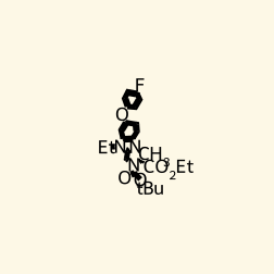 CCOC(=O)[C@H](C)N(Cc1nc2ccc(Oc3ccc(F)cc3)cc2n1CC)C(=O)OC(C)(C)C